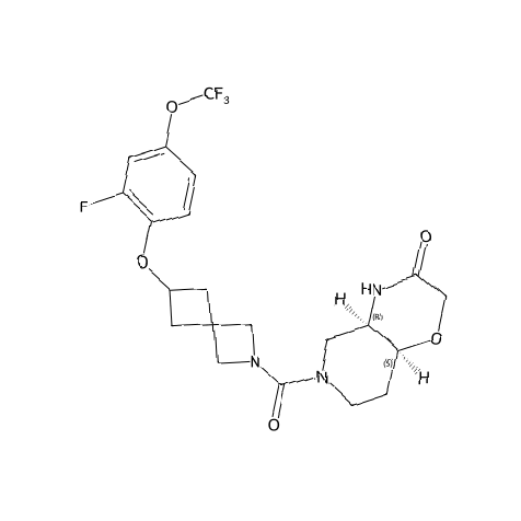 O=C1CO[C@H]2CCN(C(=O)N3CC4(CC(Oc5ccc(OC(F)(F)F)cc5F)C4)C3)C[C@H]2N1